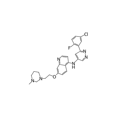 CN1CCCN(CCOc2ccc3c(Nc4cnnc(-c5cc(Cl)ccc5F)c4)ccnc3c2)C1